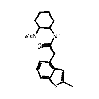 CNC1CCCCC1NC(=O)Cc1cccc2sc(C)cc12